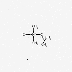 CC.C[N+](C)(C)Cl